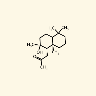 CC(=O)C[C@@H]1[C@@]2(C)CCCC(C)(C)C2CC[C@@]1(C)O